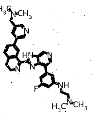 CN(C)CCNc1cc(F)cc(-c2cncc3[nH]c(C4=NCCc5ccc(-c6cncc(CN(C)C)c6)cc54)nc23)c1